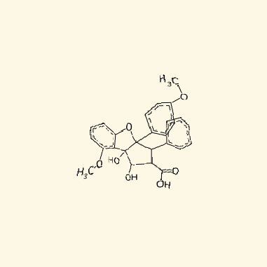 COc1ccc(C23Oc4cccc(OC)c4C2(O)C(O)C(C(=O)O)C3c2ccccc2)cc1